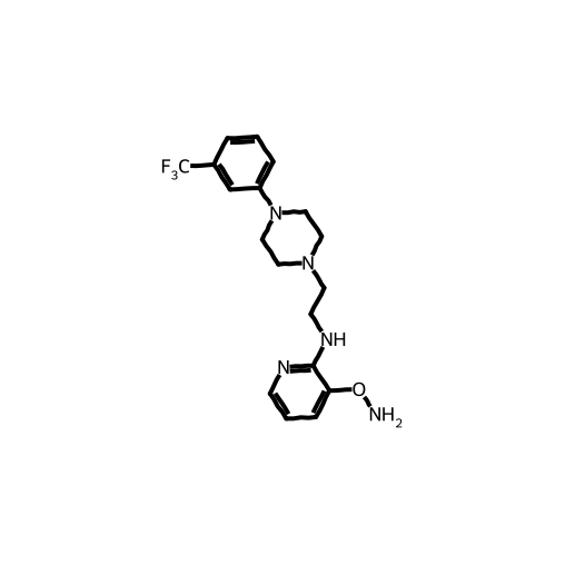 NOc1cccnc1NCCN1CCN(c2cccc(C(F)(F)F)c2)CC1